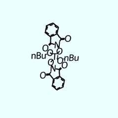 CCCC[O][Ti]([O]CCCC)([O]N1C(=O)c2ccccc2C1=O)[O]N1C(=O)c2ccccc2C1=O